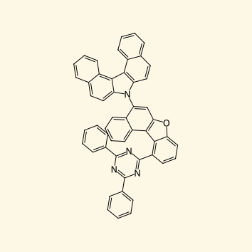 c1ccc(-c2nc(-c3ccccc3)nc(-c3cccc4oc5cc(-n6c7ccc8ccccc8c7c7c8ccccc8ccc76)c6ccccc6c5c34)n2)cc1